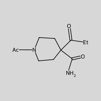 CCC(=O)C1(C(N)=O)CCN(C(C)=O)CC1